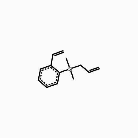 C=CC[Si](C)(C)c1ccccc1C=C